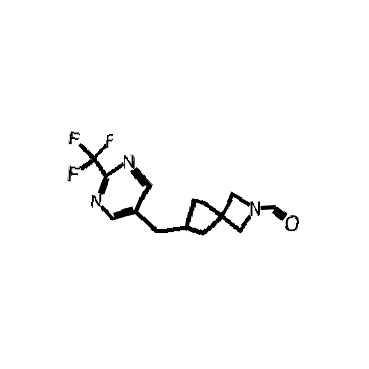 O=CN1CC2(CC(Cc3cnc(C(F)(F)F)nc3)C2)C1